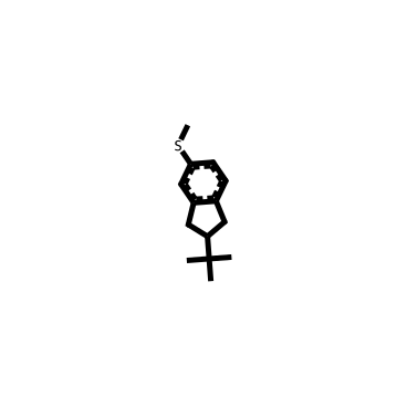 CSc1ccc2c(c1)CC(C(C)(C)C)C2